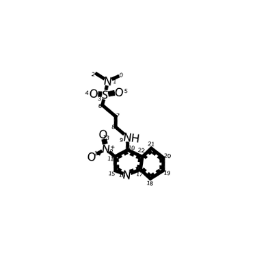 CN(C)S(=O)(=O)CCCNc1c([N+](=O)[O-])cnc2ccccc12